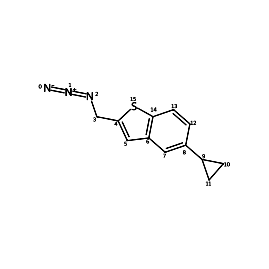 [N-]=[N+]=NCc1cc2cc(C3CC3)ccc2s1